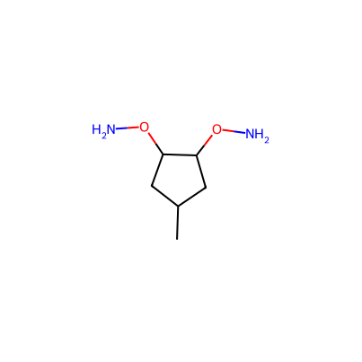 CC1CC(ON)C(ON)C1